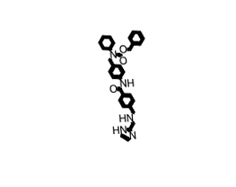 O=C(Nc1ccc(CN(C(=O)OCc2ccccc2)C2CCCCC2)cc1)c1ccc(CNCc2ncc[nH]2)cc1